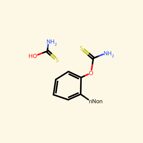 CCCCCCCCCc1ccccc1OC(N)=S.NC(O)=S